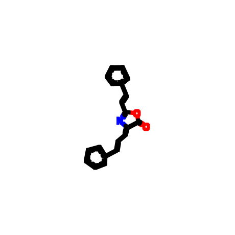 O=C1OC(/C=C/c2ccccc2)=NC/1=C\C=C\c1ccccc1